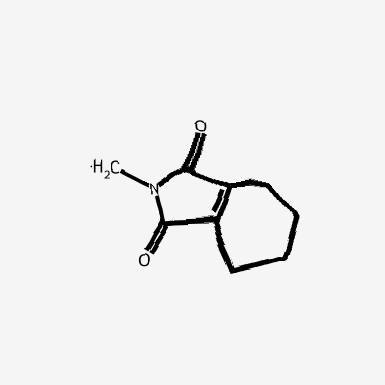 [CH2]N1C(=O)C2=C(CCCC2)C1=O